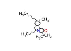 C=C(C)c1cn2c(cc1=O)-c1cc(CC)c(CCCCCC)cc1CC2CCCC